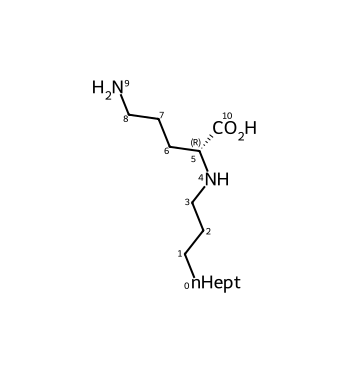 CCCCCCCCCCN[C@H](CCCN)C(=O)O